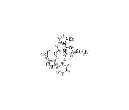 CCC1CC[C@@H](CCOCc2c(C3CCCCC3)noc2C2CC2)N1c1nc(C)cc(C(=O)O)n1